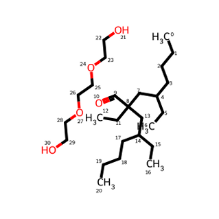 CCCCC(CC)CC(C=O)(CC)CC(CC)CCCC.OCCOCCOCCO